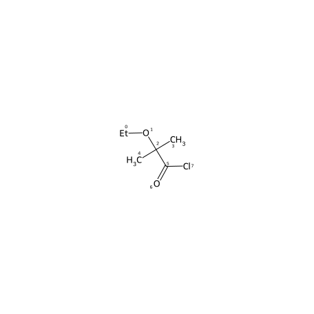 CCOC(C)(C)C(=O)Cl